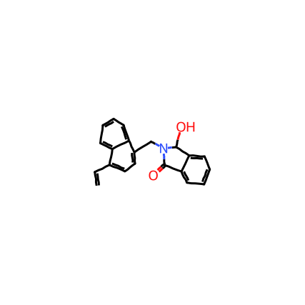 C=Cc1ccc(CN2C(=O)c3ccccc3C2O)c2ccccc12